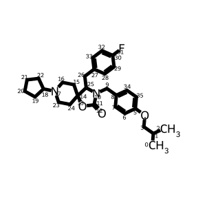 CC(C)COc1ccc(CN2C(=O)OC3(CCN(C4CCCC4)CC3)C2Cc2ccc(F)cc2)cc1